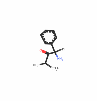 CC(C)C(N)(C(=O)C(C(=O)O)C(=O)O)c1ccccc1